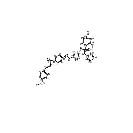 COc1ccc(C=CC(=O)c2ccc(OCc3cn(CC(O)(Cn4cncn4)c4ccc(F)cc4F)nn3)cc2)cc1